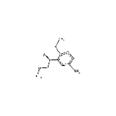 CNc1ncc(N)cc1[C@H](C)COC